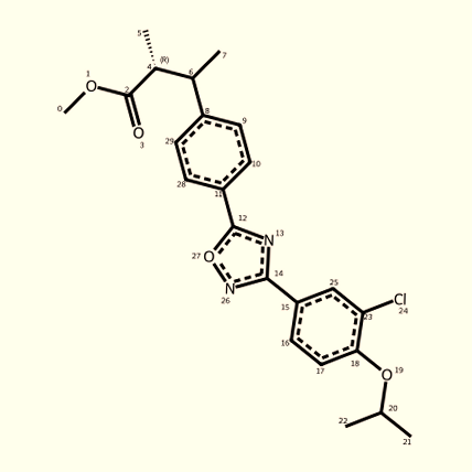 COC(=O)[C@H](C)C(C)c1ccc(-c2nc(-c3ccc(OC(C)C)c(Cl)c3)no2)cc1